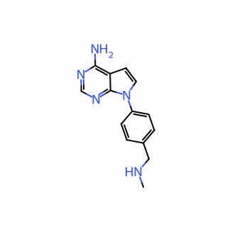 CNCc1ccc(-n2ccc3c(N)ncnc32)cc1